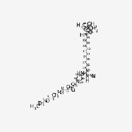 COCCOCCOCCOCCOC(=O)OC[n+]1ccc(N/C(=N\CCCCCCCCCCCCNC(=O)OC(C)(C)C)NC#N)cc1